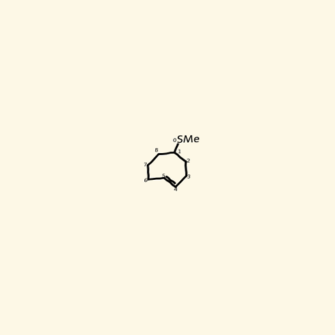 CSC1CC/C=C/CCC1